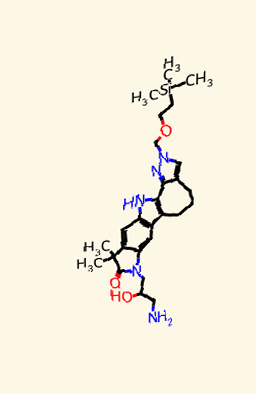 CC1(C)C(=O)N(CC(O)CN)c2cc3c4c([nH]c3cc21)-c1nn(COCC[Si](C)(C)C)cc1CCC4